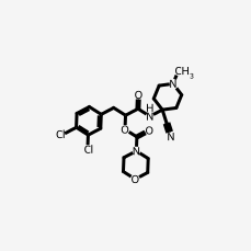 CN1CCC(C#N)(NC(=O)C(Cc2ccc(Cl)c(Cl)c2)OC(=O)N2CCOCC2)CC1